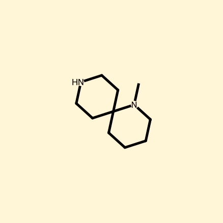 CN1CCCCC12CCNCC2